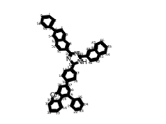 c1ccc(-c2ccc3cc(C4=NC(c5ccc(-c6cc(-c7ccccc7)c7c(c6)oc6ccccc67)cc5)NC(c5ccc6ccccc6c5)=N4)ccc3c2)cc1